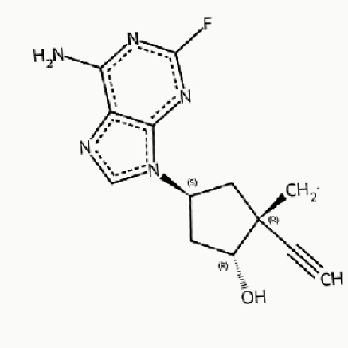 C#C[C@@]1([CH2])C[C@H](n2cnc3c(N)nc(F)nc32)C[C@H]1O